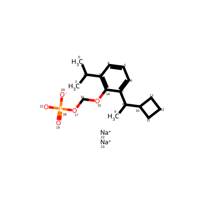 CC(C)c1cccc(C(C)C2CCC2)c1OCOP(=O)([O-])[O-].[Na+].[Na+]